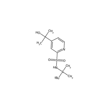 CC(C)(O)c1ccnc(S(=O)(=O)N[Si](C)(C)C(C)(C)C)c1